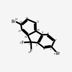 FC1(F)c2cc(Br)ccc2-c2ccc(Br)cc21